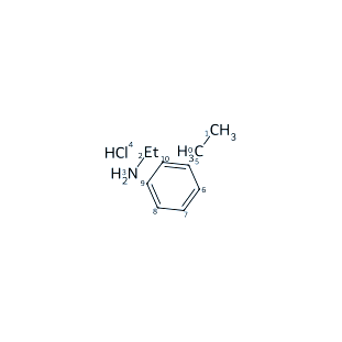 CC.CCN.Cl.c1ccccc1